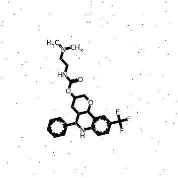 CN(C)CCNC(=O)OC1COC2c3cc(C(F)(F)F)ccc3NC(c3ccccc3)C2C1